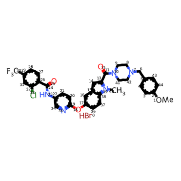 Br.COc1ccc(CN2CCN(C(=O)c3cc4cc(Oc5ccc(NC(=O)c6ccc(C(F)(F)F)cc6Cl)cn5)ccc4n3C)CC2)cc1